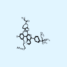 C=CC(=O)N1CCc2nc(-c3nc(-c4ccc(C(C)(C)N)cc4)c4ccsc4c3-c3c(F)cc(F)cc3OCCOC)sc2C1